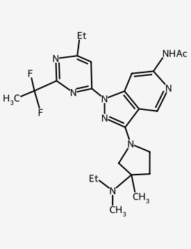 CCc1cc(-n2nc(N3CCC(C)(N(C)CC)C3)c3cnc(NC(C)=O)cc32)nc(C(C)(F)F)n1